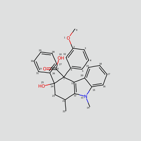 COc1cccc(C2(C(=O)O)c3c(n(C)c4ccccc34)C(C)CC2(O)c2ccccc2)c1